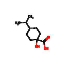 CC(C)C1CCC(O)(C(=O)O)CC1